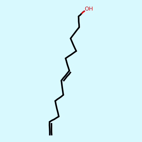 C=CCCCC=CCCCCCO